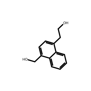 OCCc1ccc(CO)c2ccccc12